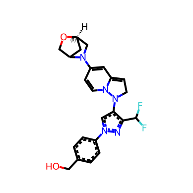 OCc1ccc(-n2cc(N3CC=C4C=C(N5C[C@H]6CC5CO6)C=CN43)c(C(F)F)n2)cc1